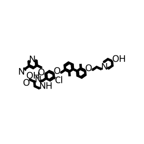 Cc1c(COc2cc(OCc3cncc(C#N)c3)c(C3=NC(C(=O)O)CCN3)cc2Cl)cccc1-c1cccc(OCCCN2CCC(O)CC2)c1C